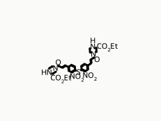 CCOC(=O)C1CN(C(=O)/C=C/c2ccc(Sc3ccc(/C=C/C(=O)N4CCNC(C(=O)OCC)C4)cc3[N+](=O)[O-])c([N+](=O)[O-])c2)CCN1